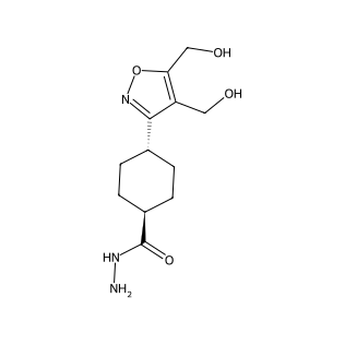 NNC(=O)[C@H]1CC[C@H](c2noc(CO)c2CO)CC1